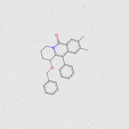 Cc1cc2c(-c3ccccc3)c3n(c(=O)c2cc1C)CCCC3OCc1ccccc1